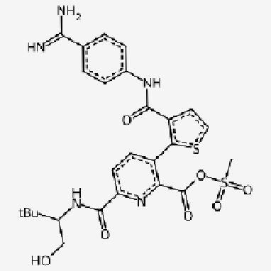 CC(C)(C)C(CO)NC(=O)c1ccc(-c2sccc2C(=O)Nc2ccc(C(=N)N)cc2)c(C(=O)OS(C)(=O)=O)n1